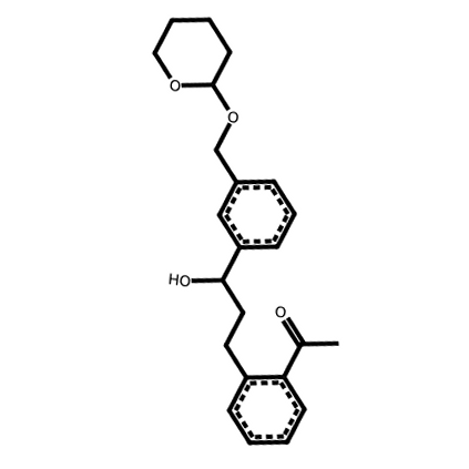 CC(=O)c1ccccc1CCC(O)c1cccc(COC2CCCCO2)c1